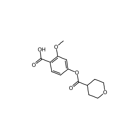 COc1cc(OC(=O)C2CCOCC2)ccc1C(=O)O